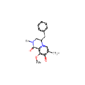 CCCCOc1c2n(cc(C(=O)O)c1=O)C(Cc1ccccc1)CN(CC)C2=O